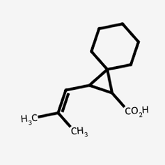 CC(C)=CC1C(C(=O)O)C12CCCCC2